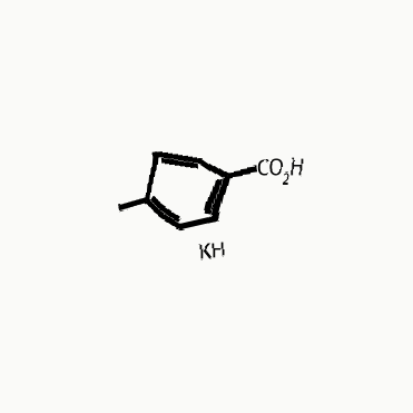 Cc1ccc(C(=O)O)cc1.[KH]